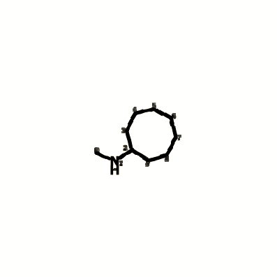 CNC1CCCCCCC1